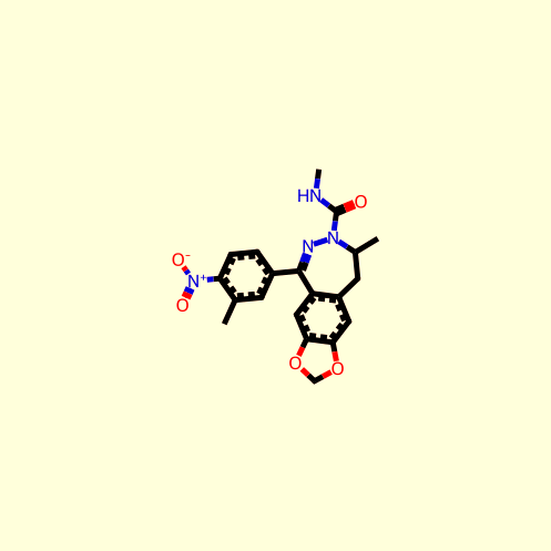 CNC(=O)N1N=C(c2ccc([N+](=O)[O-])c(C)c2)c2cc3c(cc2CC1C)OCO3